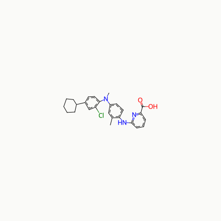 Cc1cc(N(C)c2ccc(C3CCCCC3)cc2Cl)ccc1Nc1cccc(C(=O)O)n1